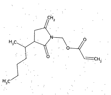 C=CC(=O)OCN1C(=C)CC(C(C)CCCC)C1=O